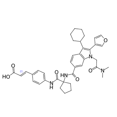 CN(C)C(=O)Cn1c(-c2ccoc2)c(C2CCCCC2)c2ccc(C(=O)NC3(C(=O)Nc4ccc(/C=C/C(=O)O)cc4)CCCC3)cc21